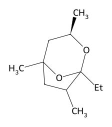 CCC12O[C@H](C)CC(C)(CC1C)O2